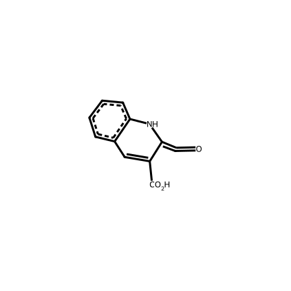 O=C=C1Nc2ccccc2C=C1C(=O)O